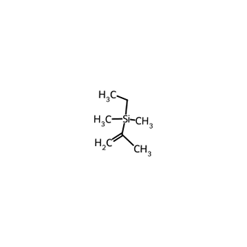 C=C(C)[Si](C)(C)CC